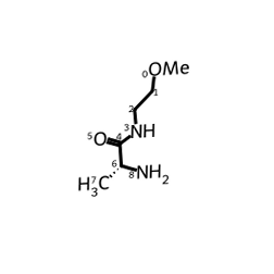 COCCNC(=O)[C@@H](C)N